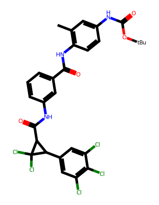 Cc1cc(NC(=O)OC(C)(C)C)ccc1NC(=O)c1cccc(NC(=O)C2C(c3cc(Cl)c(Cl)c(Cl)c3)C2(Cl)Cl)c1